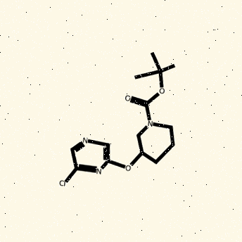 CC(C)(C)OC(=O)N1CCCC(Oc2cncc(Cl)n2)C1